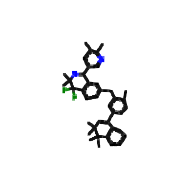 Cc1ccc(C2=CC(C)(C)C(C)(C)c3ccccc32)cc1Cc1ccc2c(c1)C(c1cnc(C)c(C)c1)=NC(C)(C)C2(F)F